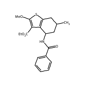 CCOC(=O)c1c(OC)sc2c1C(NC(=O)c1ccccc1)CC(C)C2